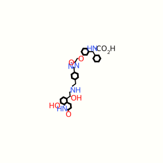 O=C(O)NC(c1ccccc1)c1cccc(OCc2nc(-c3ccc(CCNC[C@@H](O)c4ccc(O)c5[nH]c(=O)ccc45)cc3)no2)c1